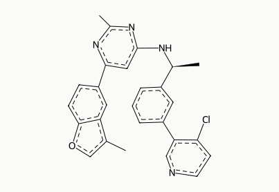 Cc1nc(N[C@@H](C)c2cccc(-c3cnccc3Cl)c2)cc(-c2ccc3occ(C)c3c2)n1